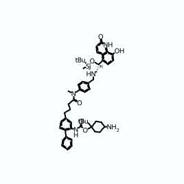 CN(C(=O)CCCc1ccc(-c2ccccc2)c(NC(=O)OC2(C(C)(C)C)CCC(N)CC2)c1)c1ccc(CNC[C@H](O[Si](C)(C)C(C)(C)C)c2ccc(O)c3[nH]c(=O)ccc23)cc1